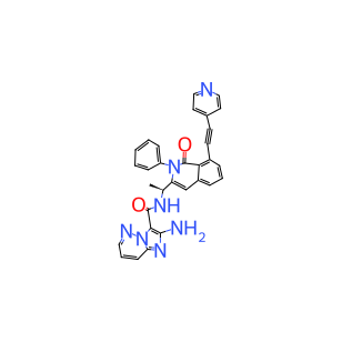 C[C@H](NC(=O)c1c(N)nc2cccnn12)c1cc2cccc(C#Cc3ccncc3)c2c(=O)n1-c1ccccc1